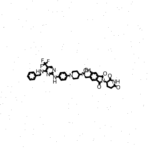 CN(Cc1cc2c(cc1Br)C(=O)N(C1CCC(=O)NC1=O)C2=O)C1CCN(c2ccc(Nc3ncc(C(F)(F)F)c(NCc4ccccc4)n3)cc2)CC1